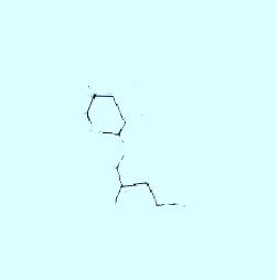 CCCCCCCCCCCCC(CCCCCCCCCC)CO[C@H]1OC[C@@H](O)[C@H](O)[C@@H]1O